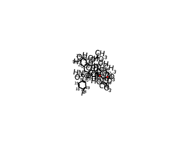 CC(=O)O[C@H]1[C@H]2[C@@H]([C@@H](O)[C@H](NS(=O)(=O)c3ccc(F)cc3)C3C[C@@H]4O[C@@H]4[C@H](O)[C@@]32C)[C@@H]2[C@@H](O)[C@@H]3[C@H]([C@H](C)[C@H]4O[C@]45OC(=O)[C@@](C)(O)[C@]35C)[C@@]2(C(C)=O)[C@H]1O